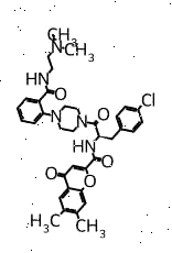 Cc1cc2oc(C(=O)N[C@H](Cc3ccc(Cl)cc3)C(=O)N3CCN(c4ccccc4C(=O)NCCN(C)C)CC3)cc(=O)c2cc1C